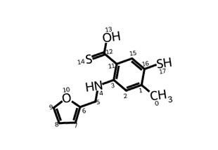 Cc1cc(NCc2ccco2)c(C(O)=S)cc1S